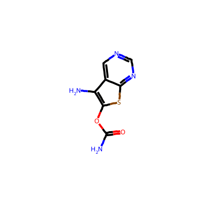 NC(=O)Oc1sc2ncncc2c1N